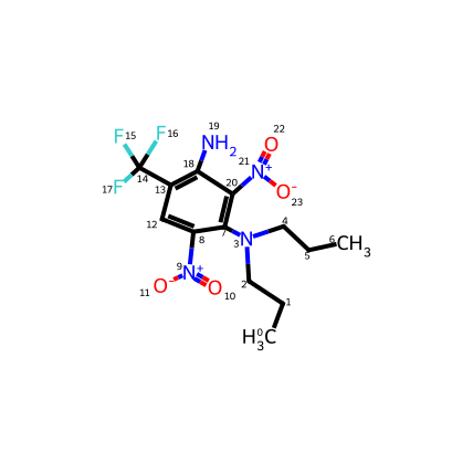 CCCN(CCC)c1c([N+](=O)[O-])cc(C(F)(F)F)c(N)c1[N+](=O)[O-]